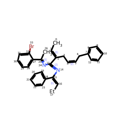 C/C=C(C/C=C\Cc1ccccc1)/C(=N/C(=C/CC)c1ccccc1)/N=C(\C)c1ccccc1Br